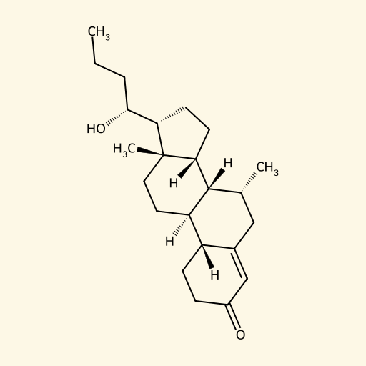 CCC[C@@H](O)[C@@H]1CC[C@@H]2[C@H]3[C@H](CC[C@@]21C)[C@H]1CCC(=O)C=C1C[C@H]3C